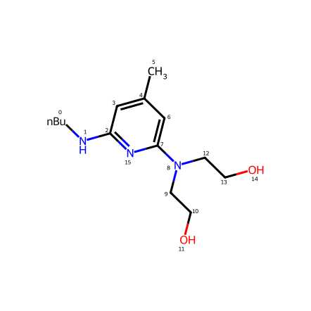 CCCCNc1cc(C)cc(N(CCO)CCO)n1